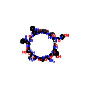 CCCC[C@H]1C(=O)N(C)[C@@H](CCCC)C(=O)N[C@@H](CC(C)C)C(=O)N[C@H](C(=O)NCC(=O)N2CCC(O)CC2)CSCC(=O)N[C@@H](Cc2ccc(O)cc2)C(=O)N(C)[C@@H](C)C(=O)N[C@@H](CC(N)=O)C(=O)N2CCC[C@H]2C(=O)N[C@@H](CN)C(=O)N[C@@H](CC(C)C)C(=O)N2C[C@H](O)C[C@H]2C(=O)N[C@@H](Cc2c[nH]c3ccccc23)C(=O)NCC(=O)N[C@@H](Cc2c[nH]c3ccccc23)C(=O)N1C